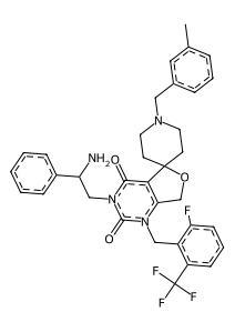 Cc1cccc(CN2CCC3(CC2)OCc2c3c(=O)n(CC(N)c3ccccc3)c(=O)n2Cc2c(F)cccc2C(F)(F)F)c1